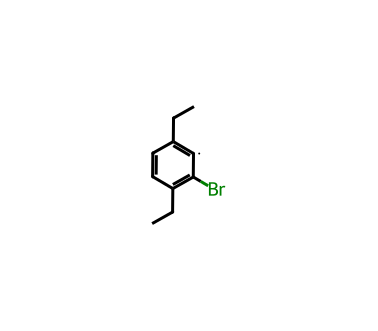 CCc1[c]c(Br)c(CC)cc1